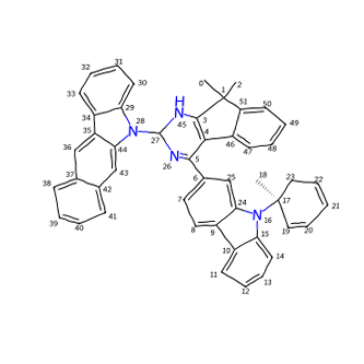 CC1(C)C2=C(C(c3ccc4c5ccccc5n([C@]5(C)C=CC=CC5)c4c3)=NC(n3c4ccccc4c4cc5ccccc5cc43)N2)c2ccccc21